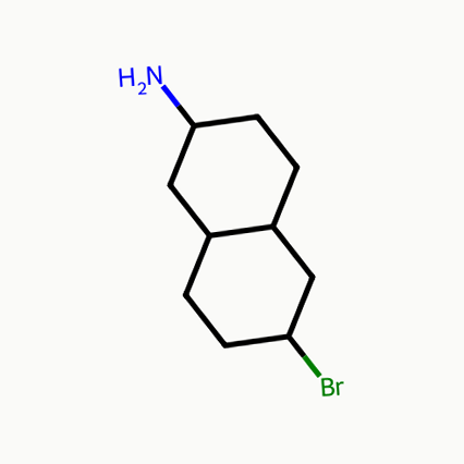 NC1CCC2CC(Br)CCC2C1